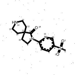 CS(=O)(=O)c1ccc(N2CCC3(CCNCC3)C2=O)nc1